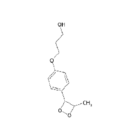 CC1OOC1c1ccc(OCCCO)cc1